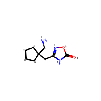 NCC1(Cc2noc(=O)[nH]2)CCCC1